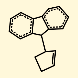 C1=CC(C2c3ccccc3-c3ccccc32)CC1